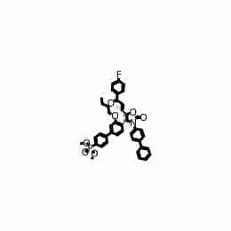 CCCCOc1cc(-c2ccc(P(=O)(OC)OC)cc2)ccc1[C@@H]1[C@@H](/C=C/C(=O)c2ccc(F)cc2)OC(=O)N1c1ccc(-c2ccccc2)cc1